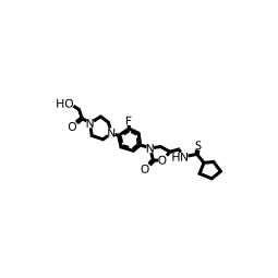 O=C(CO)N1CCN(c2ccc(N3CC(CNC(=S)C4CCCC4)OC3=O)cc2F)CC1